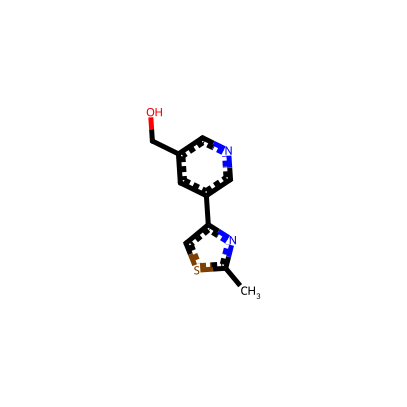 Cc1nc(-c2cncc(CO)c2)cs1